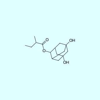 CCC(C)C(=O)OC1C2CC3(O)CC1CC(O)(C2)C3